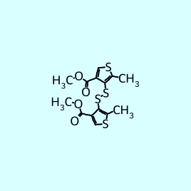 COC(=O)c1csc(C)c1SSc1c(C(=O)OC)csc1C